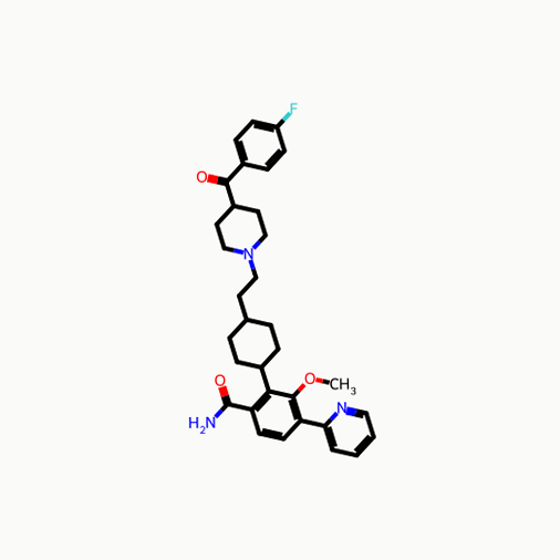 COc1c(-c2ccccn2)ccc(C(N)=O)c1C1CCC(CCN2CCC(C(=O)c3ccc(F)cc3)CC2)CC1